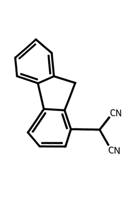 N#CC(C#N)c1cccc2c1Cc1ccccc1-2